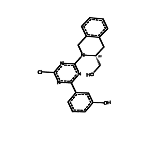 OC[C@H]1Cc2ccccc2CN1c1nc(Cl)nc(-c2cccc(O)c2)n1